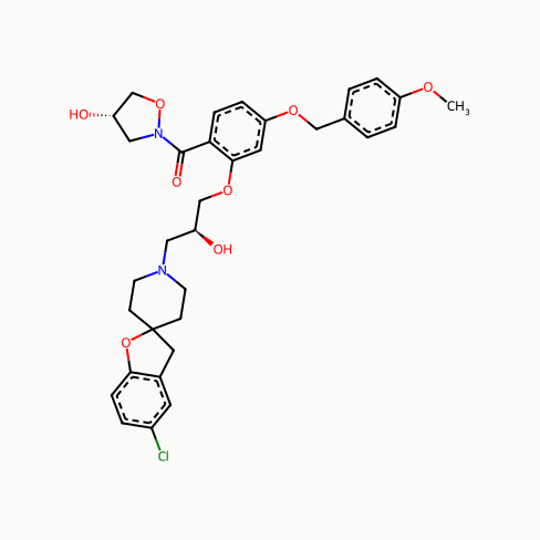 COc1ccc(COc2ccc(C(=O)N3C[C@H](O)CO3)c(OC[C@@H](O)CN3CCC4(CC3)Cc3cc(Cl)ccc3O4)c2)cc1